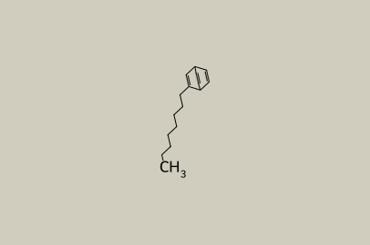 CCCCCCCCC1=CC2C=CC1C=C2